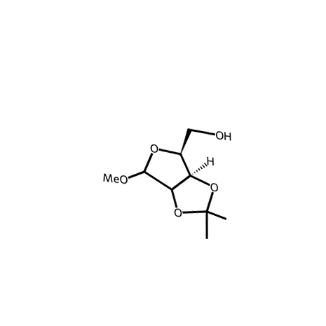 COC1O[C@@H](CO)[C@H]2OC(C)(C)OC12